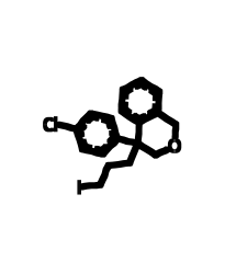 Clc1ccc(C2(CCCI)COCc3ccccc32)cc1